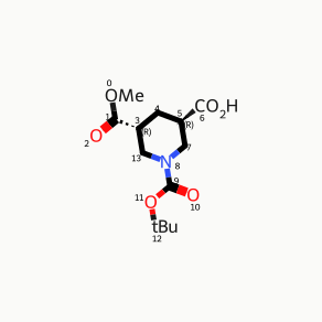 COC(=O)[C@@H]1C[C@@H](C(=O)O)CN(C(=O)OC(C)(C)C)C1